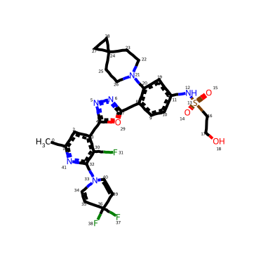 Cc1cc(-c2nnc(-c3ccc(NS(=O)(=O)CCO)cc3N3CCC4(CC3)CC4)o2)c(F)c(N2C=CC(F)(F)C=C2)n1